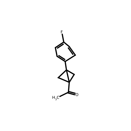 CC(=O)C12CC1(c1ccc(F)cc1)C2